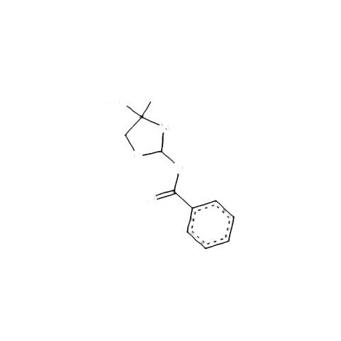 CC1(C)COC(OC(=O)c2ccccc2)N1